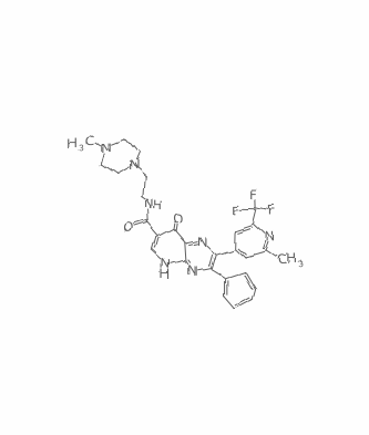 Cc1cc(-c2nc3c(=O)c(C(=O)NCCN4CCN(C)CC4)c[nH]c3nc2-c2ccccc2)cc(C(F)(F)F)n1